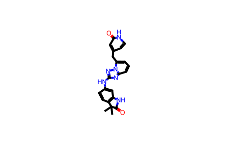 CC1(C)C(=O)Nc2cc(Nc3nc4cccc(Cc5cc[nH]c(=O)c5)n4n3)ccc21